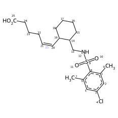 Cc1cc(Cl)cc(C)c1S(=O)(=O)NCC1CCCCC1/C=C\CCCC(=O)O